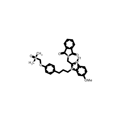 CC[n+]1c(CN2C(=O)c3ccccc3C2=O)n(CCCc2ccc(OCP(C)(C)=O)cc2)c2cc(OC)ccc21